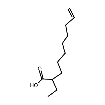 C=CCCCCCCC(CC)C(=O)O